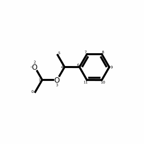 CC([O])OC(C)c1ccccc1